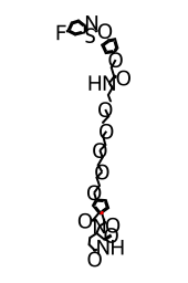 O=C(COc1ccc(Oc2nc3ccc(F)cc3s2)cc1)NCCCOCCOCCOCCOCCOc1ccc2c(c1)C(=O)N(C1CCC(=O)NC1=O)C2=O